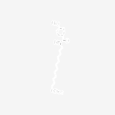 CCCCCCCCCCCCCCCCCCCCCCNC(=O)c1ccc(O)cc1